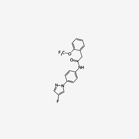 O=C(Cc1ccccc1OC(F)(F)F)Nc1ccc(-n2cc(F)cn2)cc1